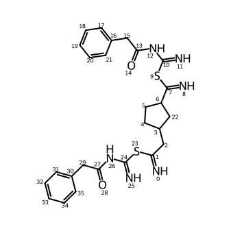 N=C(CC1CCC(C(=N)SC(=N)NC(=O)Cc2ccccc2)C1)SC(=N)NC(=O)Cc1ccccc1